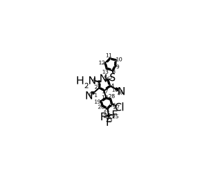 N#Cc1c(N)nc(Sc2ccccc2)c(C#N)c1-c1ccc(C(F)(F)F)c(Cl)c1